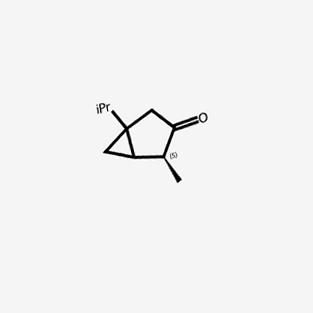 CC(C)C12CC(=O)[C@@H](C)C1C2